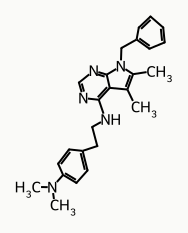 Cc1c(C)n(Cc2ccccc2)c2ncnc(NCCc3ccc(N(C)C)cc3)c12